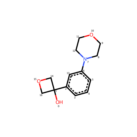 OC1(c2cc[c]c(N3CCOCC3)c2)COC1